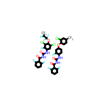 O=C(NC(=O)c1c(F)cccc1F)Nc1cc(Cl)c(OC(F)(F)C(F)C(F)(F)F)c(Cl)c1F.O=C(NC(=O)c1c(F)cccc1F)Nc1ccc(Oc2ccc(C(F)(F)F)cc2Cl)cc1F